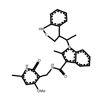 COc1cc(C)[nH]c(=O)c1CNC(=O)c1c(C)n(C(C)C2CCNc3ccccc32)c2ccccc12